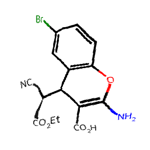 CCOC(=O)[C@@H](C#N)C1C(C(=O)O)=C(N)Oc2ccc(Br)cc21